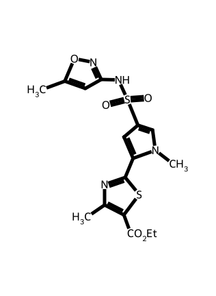 CCOC(=O)c1sc(-c2cc(S(=O)(=O)Nc3cc(C)on3)cn2C)nc1C